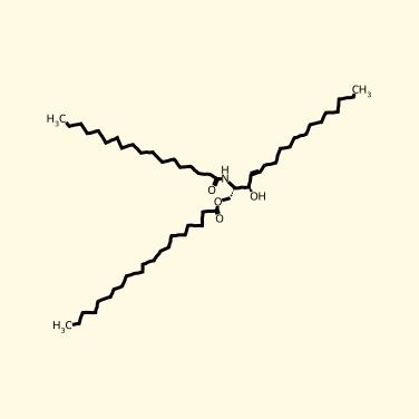 CCCCCCCCCCCCC/C=C/[C@@H](O)[C@H](COC(=O)CCCCCCCCCCCCCCCCCCC)NC(=O)CCCCCCCCCCCCCCCCC